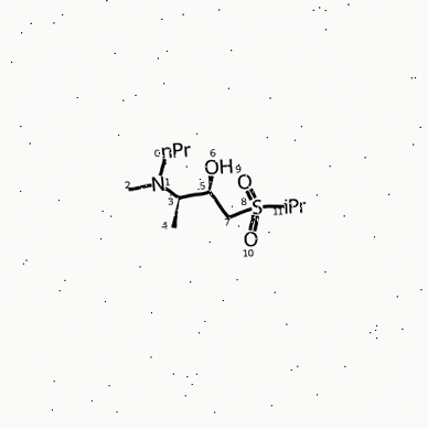 CCCN(C)[C@H](C)[C@@H](O)CS(=O)(=O)C(C)C